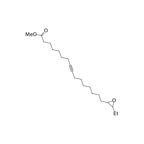 CCC1OC1CCCCCCCC#CCCCCCCC(=O)OC